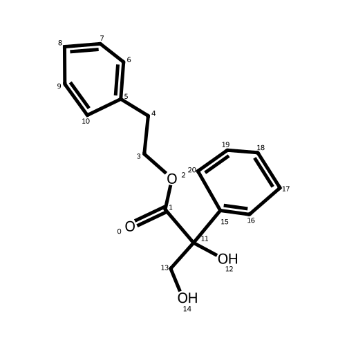 O=C(OCCc1ccccc1)C(O)(CO)c1ccccc1